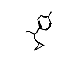 Cc1ccc(C(C)C2CC2)nc1